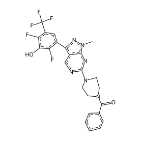 Cn1nc(-c2cc(C(F)(F)F)c(F)c(O)c2F)c2cnc(N3CCN(C(=O)c4ccccc4)CC3)nc21